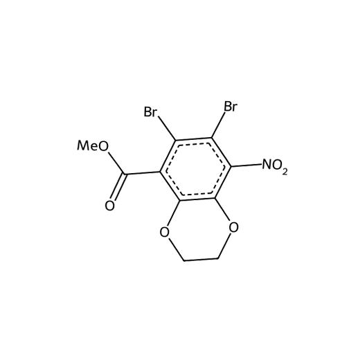 COC(=O)c1c(Br)c(Br)c([N+](=O)[O-])c2c1OCCO2